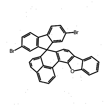 Brc1ccc2c(c1)C1(c3cc(Br)ccc3-2)c2ccc3c(oc4ccccc43)c2-c2cccc3cccc1c23